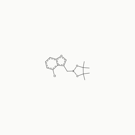 CC1(C)OB(Cc2coc3cccc(Cl)c23)OC1(C)C